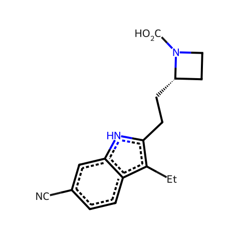 CCc1c(CC[C@H]2CCN2C(=O)O)[nH]c2cc(C#N)ccc12